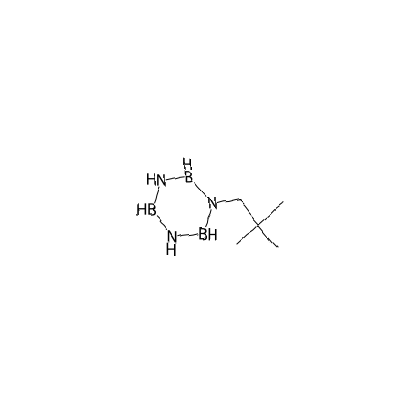 CC(C)(C)CN1BNBNB1